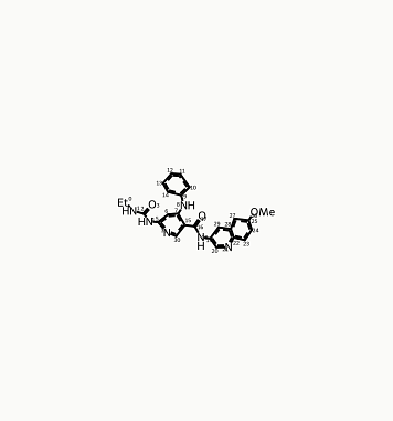 CCNC(=O)Nc1cc(Nc2ccccc2)c(C(=O)Nc2cnc3ccc(OC)cc3c2)cn1